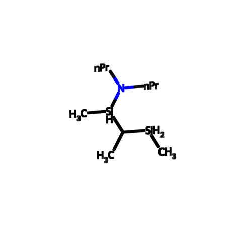 CCCN(CCC)[SiH](C)C(C)[SiH2]C